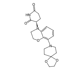 O=C1CC[C@@H](N2CCOc3c(N4CCC5(CC4)OCCO5)cccc32)C(=O)N1